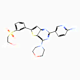 C[C@@H](O)CS(=O)(=O)c1cccc(-c2cc3nc(-c4ccc(N)nc4)nc(N4CCOCC4)c3s2)c1